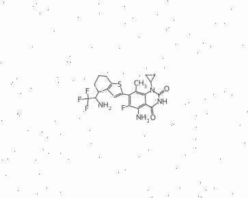 Cc1c(-c2cc3c(s2)CCCC3C(N)C(F)(F)F)c(F)c(N)c2c(=O)[nH]c(=O)n(C3CC3)c12